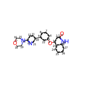 O=c1cc(Oc2cccc(-c3ccc(N4CCOCC4)nc3)c2)c2ccccc2[nH]1